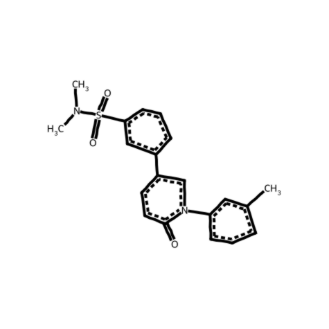 Cc1cccc(-n2cc(-c3cccc(S(=O)(=O)N(C)C)c3)ccc2=O)c1